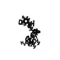 CC(C)(C)C(=O)NCc1nonc1/C=N/ONc1ccc(F)c(Cl)c1